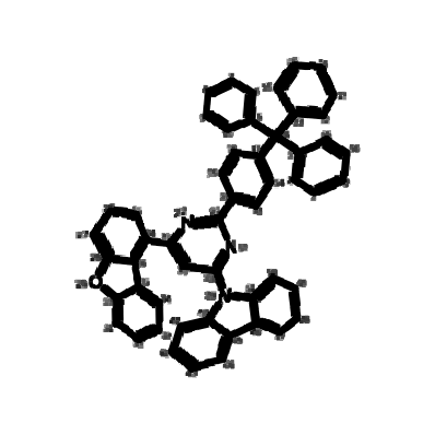 c1ccc(C(c2ccccc2)(c2ccccc2)c2ccc(-c3nc(-c4cccc5oc6ccccc6c45)cc(-n4c5ccccc5c5ccccc54)n3)cc2)cc1